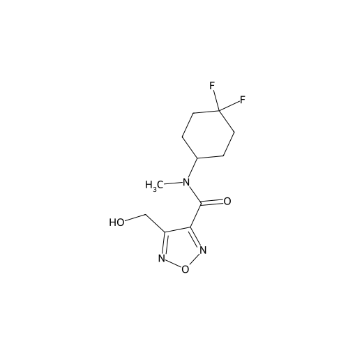 CN(C(=O)c1nonc1CO)C1CCC(F)(F)CC1